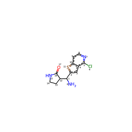 NC(c1cc2c(Cl)nccc2s1)C1CCNC1=O